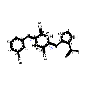 C=C(C)c1[nH]cnc1/C=c1\[nH]c(=O)/c(=C/c2cccc(F)c2)[nH]c1=O